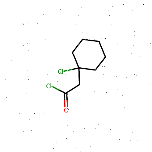 O=C(Cl)CC1(Cl)CCCCC1